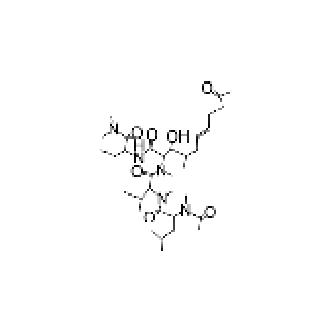 CCC(NC(=O)C(C(O)C(C)C/C=C/CCC(C)=O)N(C)C(=O)C(C(C)C)N(C)C(=O)C(CC(C)C)N(C)C(C)=O)C(=O)N(C)C